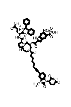 Cn1c(=O)n(C2CCC(=O)NC2=O)c2ccc(C#CCCCCCC(=O)N3CC[C@H]4CC[C@@H](C(=O)N[C@@H](CCC(N)=O)C(=O)NC(c5ccccc5)c5ccccc5)N4C(=O)[C@@H](CC(=O)c4cc5cc(C(=O)P(=O)(O)O)ccc5[nH]4)C3)cc21